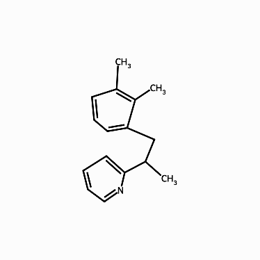 Cc1cccc(CC(C)c2ccccn2)c1C